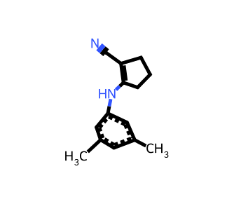 Cc1cc(C)cc(NC2=C(C#N)CCC2)c1